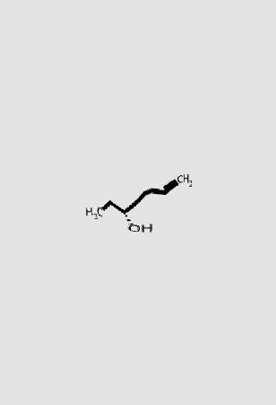 C=CC[C@H](O)CC